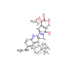 BBc1ccc2nc3c(c(S(C)(C)C(C)(C)C)c2c1)Cn1c-3cc2c(c1=O)COC(=O)C2(O)CC